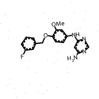 COc1cc(Nc2cc(N)ncn2)ccc1OCc1cccc(F)c1